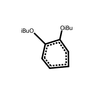 CC(C)COc1ccccc1OCC(C)C